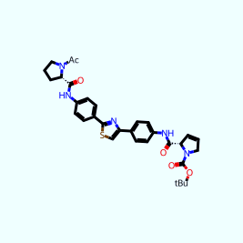 CC(=O)N1CCC[C@H]1C(=O)Nc1ccc(-c2nc(-c3ccc(NC(=O)[C@@H]4C=CCN4C(=O)OC(C)(C)C)cc3)cs2)cc1